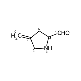 C=C1CNC(C=O)C1